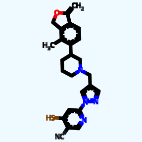 C=C1OCc2c1ccc(C1CCCN(Cc3cnn(-c4cc(S)c(C#N)cn4)c3)C1)c2C